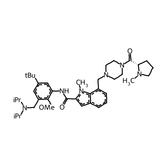 COc1c(CN(C(C)C)C(C)C)cc(C(C)(C)C)cc1NC(=O)c1cc2cccc(CN3CCN(C(=O)[C@@H]4CCCN4C)CC3)c2n1C